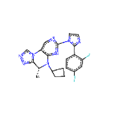 CC[C@@H]1c2nncn2-c2cnc(-n3ccnc3-c3ccc(F)cc3F)nc2N1C1CCC1